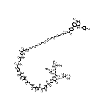 CC(=O)N1c2ccc(-c3ccc(C(=O)NCCOCCOCCOCCOCCOCCOCCOCCOCCNC(=O)c4nc(NC(=O)CCNC(=O)c5cc(NC(=O)c6nc(NC(=O)CCNC(=O)c7cc(NC(=O)c8nc(NC(=O)CCNC(=O)[C@H](CCCNC(=N)N)NC(=O)[C@H](CCCNC(=N)N)NC(=O)OC(C)(C)C)cn8C)cn7C)cn6C)cn5C)cn4C)cc3)cc2[C@H](Nc2ccc(Cl)cc2)C[C@@H]1C